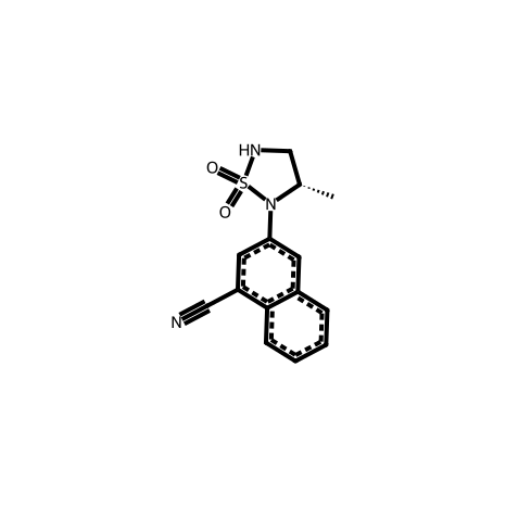 C[C@H]1CNS(=O)(=O)N1c1cc(C#N)c2ccccc2c1